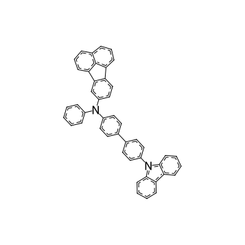 c1ccc(N(c2ccc(-c3ccc(-n4c5ccccc5c5ccccc54)cc3)cc2)c2ccc3c(c2)-c2cccc4cccc-3c24)cc1